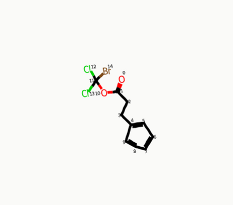 O=C(CCc1ccccc1)OC(Cl)(Cl)Br